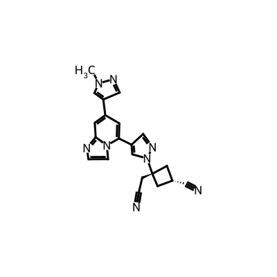 Cn1cc(-c2cc(-c3cnn([C@]4(CC#N)C[C@H](C#N)C4)c3)n3ccnc3c2)cn1